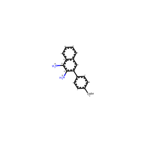 COc1ccc(-c2cc3ccccc3c(N)c2N)cc1